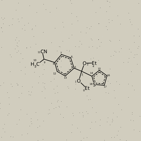 CCOC(OCC)(c1ccc(C(C)C#N)cc1)c1cccs1